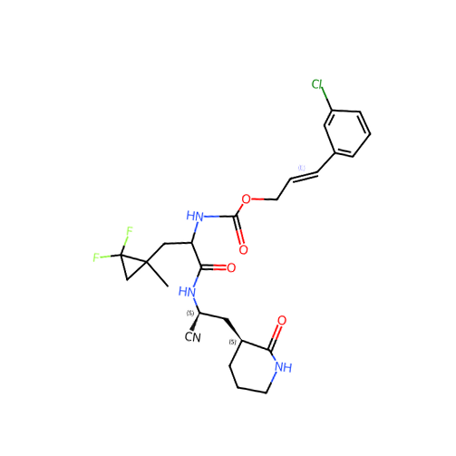 CC1(CC(NC(=O)OC/C=C/c2cccc(Cl)c2)C(=O)N[C@H](C#N)C[C@@H]2CCCNC2=O)CC1(F)F